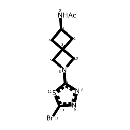 CC(=O)NC1CC2(C1)CN(c1nnc(Br)s1)C2